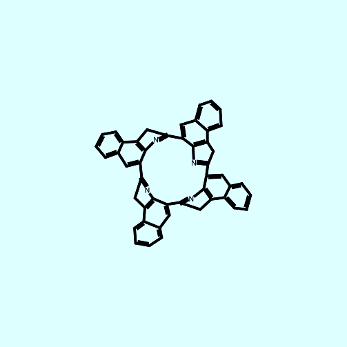 c1ccc2c3c4c(cc2c1)C1=Nc2c(cc5ccccc5c2C1)C1=Nc2c(cc5ccccc5c2C1)C1=Nc2c(cc5ccccc5c2C1)C(=N4)C3